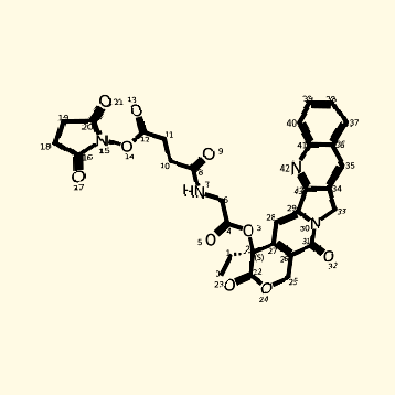 CC[C@@]1(OC(=O)CNC(=O)CCC(=O)ON2C(=O)CCC2=O)C(=O)OCc2c1cc1n(c2=O)Cc2cc3ccccc3nc2-1